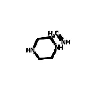 C1CNCCN1.C=N